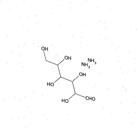 N.N.O=CC(O)C(O)C(O)C(O)CO